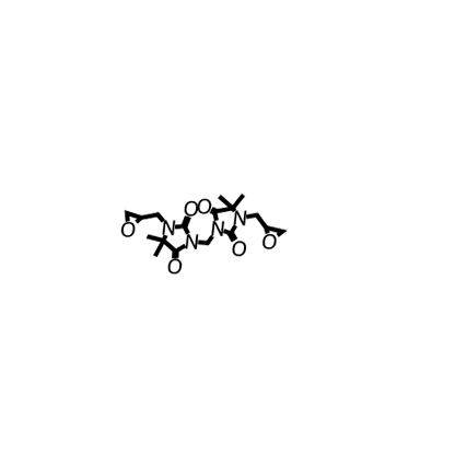 CC1(C)C(=O)N(CN2C(=O)N(CC3CO3)C(C)(C)C2=O)C(=O)N1CC1CO1